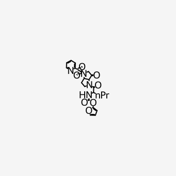 CCCC(NC(=O)Oc1ccco1)C(=O)N1CCC2C1C(=O)CN2S(=O)(=O)c1ccccn1